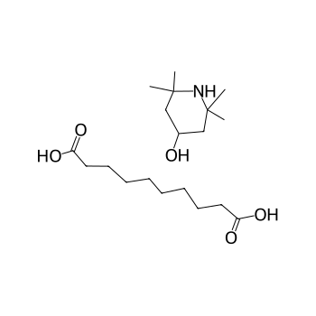 CC1(C)CC(O)CC(C)(C)N1.O=C(O)CCCCCCCCC(=O)O